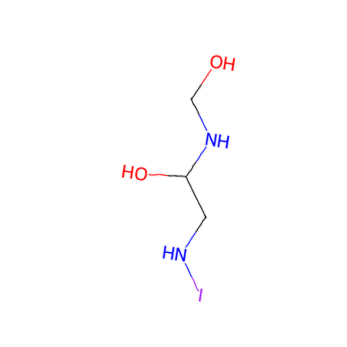 OCNC(O)CNI